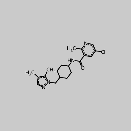 Cc1cnn(CC2CCC(NC(=O)c3cc(Cl)cnc3C)CC2)c1C